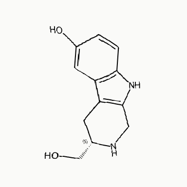 OC[C@@H]1Cc2c([nH]c3ccc(O)cc23)CN1